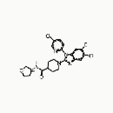 O=C(N[C@@H]1CCOC1)C1CCN(c2nc3cc(Cl)c(Cl)cc3n2-c2ccc(Cl)cn2)CC1